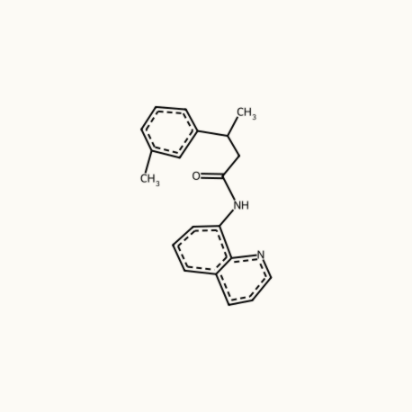 Cc1cccc(C(C)CC(=O)Nc2cccc3cccnc23)c1